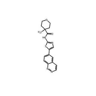 CC1(C(=O)Nc2ncc(-c3ccc4nnccc4c3)s2)CCOCC1